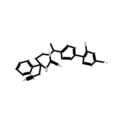 CC(c1ccc(-c2ccc(F)cc2F)cc1)N1CCC(CC#N)(c2ccccc2)NC1=O